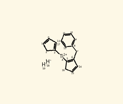 C1=CC[C]([Ti+2][C]2=C(Cc3ccccc3)C=CC2)=C1.[H-].[H-]